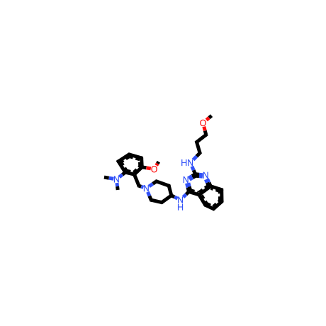 COCCCNc1nc(NC2CCN(Cc3c(OC)cccc3N(C)C)CC2)c2ccccc2n1